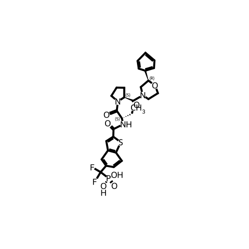 CC[C@H](NC(=O)c1cc2cc(C(F)(F)P(=O)(O)O)ccc2s1)C(=O)N1CCC[C@H]1C(=O)N1CCO[C@H](c2ccccc2)C1